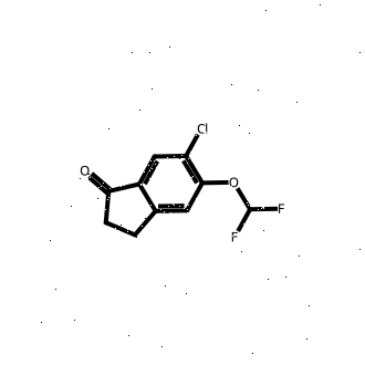 O=C1CCc2cc(OC(F)F)c(Cl)cc21